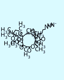 CCC1OC(=O)C(C)C(=O)C(C)[C@@H](OC2OC(C)CC(N(C)C)C2OC(C)=O)C(C)C[C@@H](C)C(=O)[C@H](C)[C@H]2N(CCCCN=[N+]=[N-])C(=O)O[C@]12C